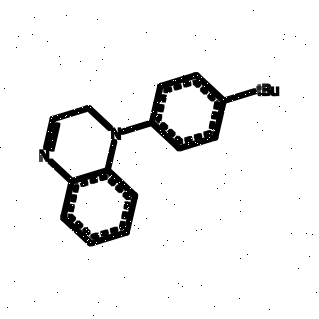 CC(C)(C)c1ccc(N2CC=Nc3ccccc32)cc1